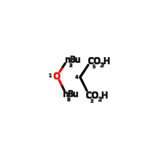 CCCCOCCCC.O=C(O)CC(=O)O